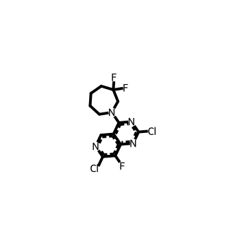 Fc1c(Cl)ncc2c(N3CCCCC(F)(F)C3)nc(Cl)nc12